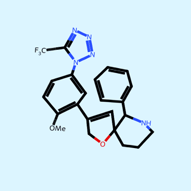 COc1ccc(-n2nnnc2C(F)(F)F)cc1C1=CC2(CCCNC2c2ccccc2)OC1